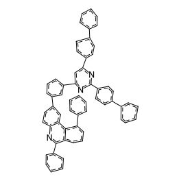 c1ccc(-c2ccc(-c3cc(-c4cccc(-c5ccc6nc(-c7ccccc7)c7cccc(-c8ccccc8)c7c6c5)c4)nc(-c4ccc(-c5ccccc5)cc4)n3)cc2)cc1